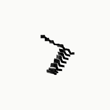 CCCCO.CCO.CCO.CCO.CCO.CCO.CCO.CO.CO.CO.CO